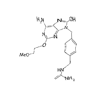 C=C(N)NCc1ccc(Cn2c(O)nc3c(N)nc(OCCOC)nc32)cc1